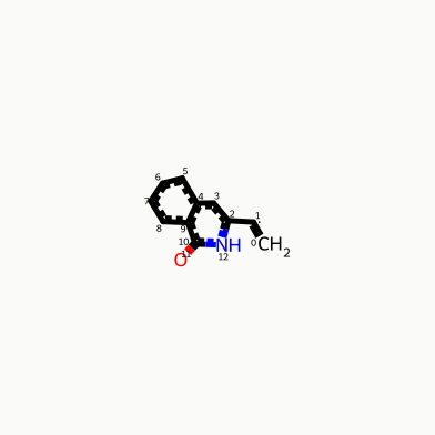 C=[C]c1cc2ccccc2c(=O)[nH]1